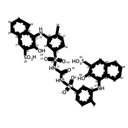 Cc1ccc(S(=O)(=O)NC(=O)NS(=O)(=O)c2ccc(C)c(Nc3c(O)c(S(=O)(=O)O)cc4ccccc34)c2)cc1Nc1c(O)c(S(=O)(=O)O)cc2ccccc12